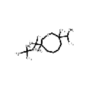 BC1(C(C)(C)BC(C)(C)C)CCCCC(C)(C(C)C)CCC1